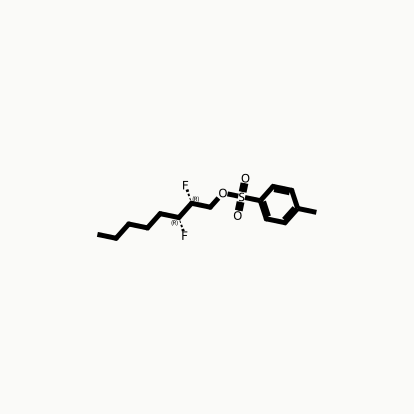 CCCCC[C@@H](F)[C@H](F)COS(=O)(=O)c1ccc(C)cc1